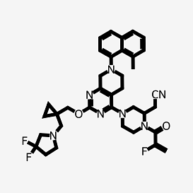 C=C(F)C(=O)N1CCN(c2nc(OCC3(CN4CCC(F)(F)C4)CC3)nc3c2CCN(c2cccc4cccc(C)c24)C3)CC1CC#N